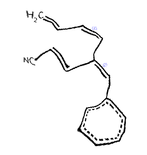 C=C/C=C\C(C=CC#N)=C\c1ccccc1